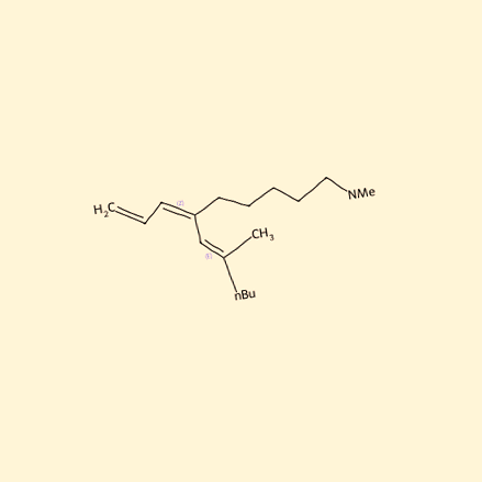 C=C/C=C(\C=C(/C)CCCC)CCCCCNC